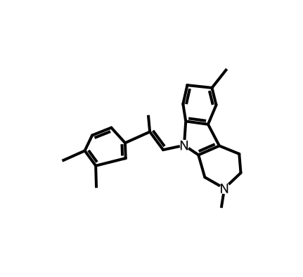 C/C(=C\n1c2c(c3cc(C)ccc31)CCN(C)C2)c1ccc(C)c(C)c1